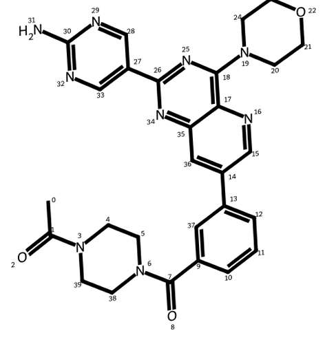 CC(=O)N1CCN(C(=O)c2cccc(-c3cnc4c(N5CCOCC5)nc(-c5cnc(N)nc5)nc4c3)c2)CC1